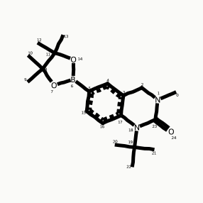 CN1Cc2cc(B3OC(C)(C)C(C)(C)O3)ccc2N(C(C)(C)C)C1=O